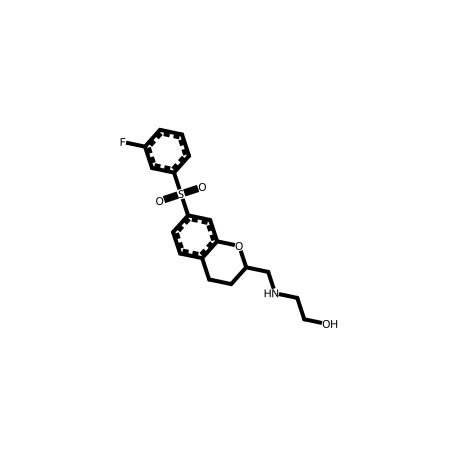 O=S(=O)(c1cccc(F)c1)c1ccc2c(c1)OC(CNCCO)CC2